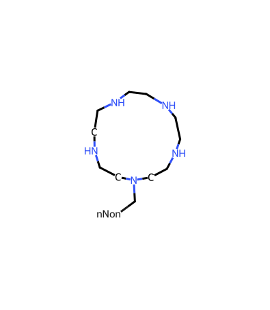 CCCCCCCCCCN1CCNCCNCCNCCNCC1